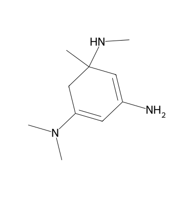 CNC1(C)C=C(N)C=C(N(C)C)C1